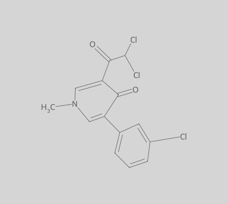 Cn1cc(C(=O)C(Cl)Cl)c(=O)c(-c2cccc(Cl)c2)c1